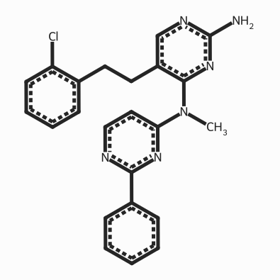 CN(c1ccnc(-c2ccccc2)n1)c1nc(N)ncc1CCc1ccccc1Cl